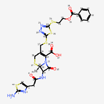 Nc1nc(CC(=O)NC2C(=O)N3C(C(=O)O)=C(CSc4nnc(SCCOC(=O)c5ccccc5)s4)CS[C@@H]23)cs1